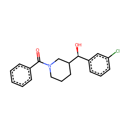 O=C(c1ccccc1)N1CCCC([C@@H](O)c2cccc(Cl)c2)C1